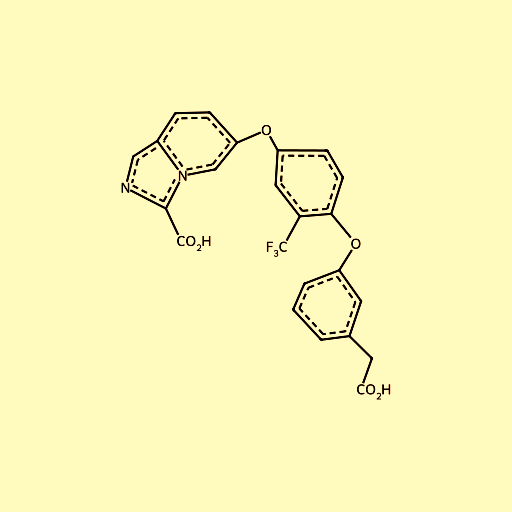 O=C(O)Cc1cccc(Oc2ccc(Oc3ccc4cnc(C(=O)O)n4c3)cc2C(F)(F)F)c1